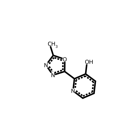 Cc1nnc(-c2ncccc2O)o1